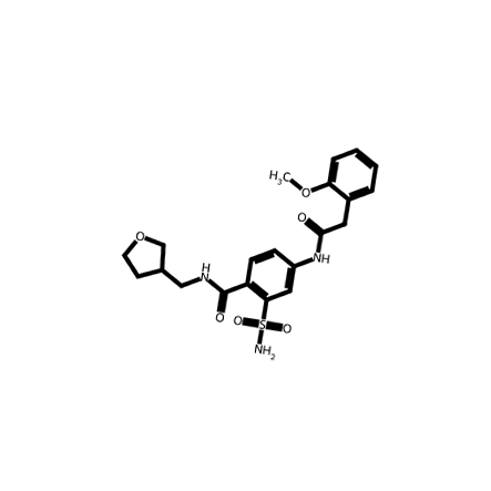 COc1ccccc1CC(=O)Nc1ccc(C(=O)NCC2CCOC2)c(S(N)(=O)=O)c1